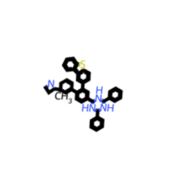 CC1(C2=NCC2)C=C(c2ccc(C3NC(c4ccccc4)NC(c4ccccc4)N3)cc2-c2ccc3sc4ccccc4c3c2)C=CC1